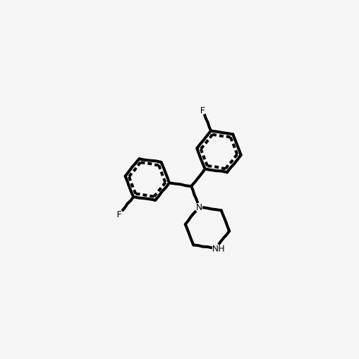 Fc1cccc(C(c2cccc(F)c2)N2CCNCC2)c1